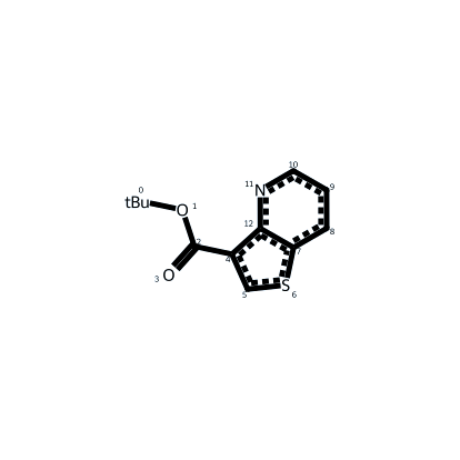 CC(C)(C)OC(=O)c1csc2cccnc12